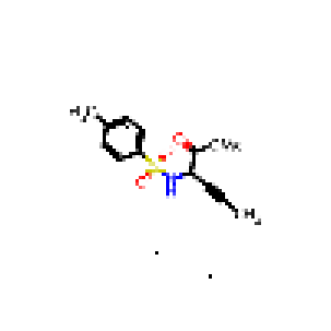 CC#CC(NS(=O)(=O)c1ccc(C)cc1)C(=O)OC